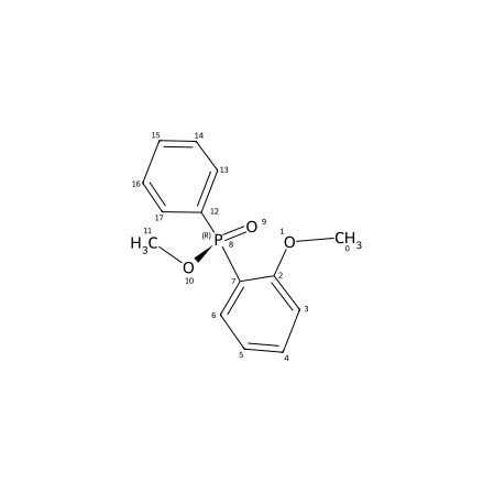 COc1ccccc1[P@](=O)(OC)c1ccccc1